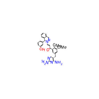 COc1cc(Cc2cnc(N)nc2N)cc(C(=O)/C=C/N2N=Cc3ccccc3C2c2cccc(O)c2)c1OC